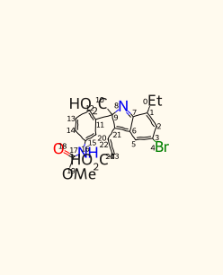 CCc1cc(Br)cc2c1=NC(C(=O)O)(c1cccc(NC(=O)OC)c1)C=2C=CC(=O)O